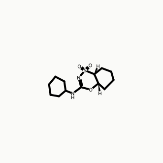 O=S1(=O)N=C(NC2CCCCC2)O[C@H]2CCCC[C@H]21